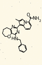 Cc1cn2c(C(N)=O)cccc2c1-c1nc2c(c(NCc3ccccc3)n1)OCCCC2